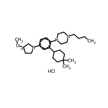 CCCCN1CCN(c2ccc(N3CC[C@@H](OC)C3)cc2C2CCC(C)(C)CC2)CC1.Cl